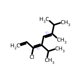 C=C/C(Cl)=C(\C=C(/C)C(C)C)C(C)C